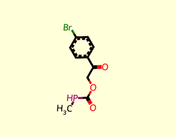 CPC(=O)OCC(=O)c1ccc(Br)cc1